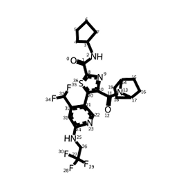 O=C(NC1CCCC1)c1nc(C(=O)N2C3CCC2CC3)c(-c2cnc(NCC(F)(F)F)cc2C(F)F)s1